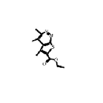 CCOC(=O)c1sc2nnc(C)c(C)c2c1C